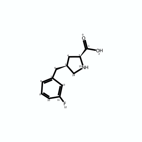 O=C(O)[C@@H]1C[C@H](Cc2cccc(F)c2)CN1